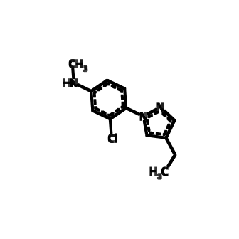 CCc1cnn(-c2ccc(NC)cc2Cl)c1